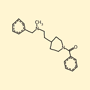 CN(CCC1CCN(C(=O)c2ccccc2)CC1)Cc1ccccc1